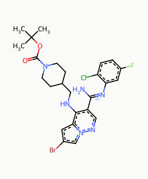 CC(C)(C)OC(=O)N1CCC(CNc2c(/C(N)=N/c3cc(F)ccc3Cl)cnn3cc(Br)cc23)CC1